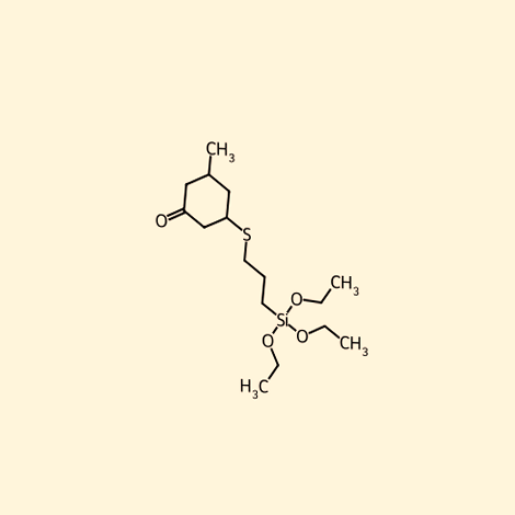 CCO[Si](CCCSC1CC(=O)CC(C)C1)(OCC)OCC